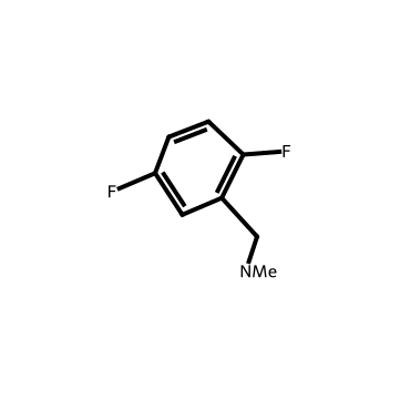 CNCc1cc(F)ccc1F